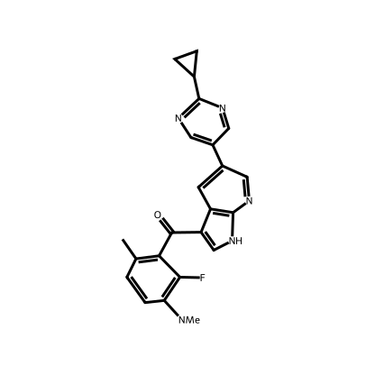 CNc1ccc(C)c(C(=O)c2c[nH]c3ncc(-c4cnc(C5CC5)nc4)cc23)c1F